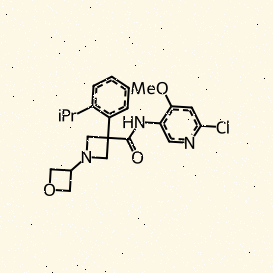 COc1cc(Cl)ncc1NC(=O)C1(c2ccccc2C(C)C)CN(C2COC2)C1